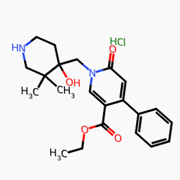 CCOC(=O)c1cn(CC2(O)CCNCC2(C)C)c(=O)cc1-c1ccccc1.Cl